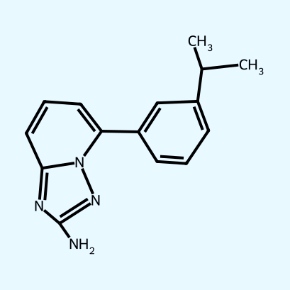 CC(C)c1cccc(-c2cccc3nc(N)nn23)c1